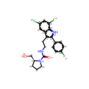 O=C(NCCc1c(-c2ccc(F)cc2)[nH]c2c(F)cc(F)cc12)N1CCC[C@H]1CO